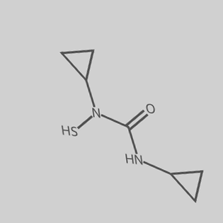 O=C(NC1CC1)N(S)C1CC1